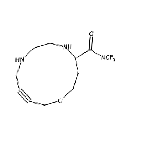 O=C(NC(F)(F)F)C1CCOCC#CCNCCN1